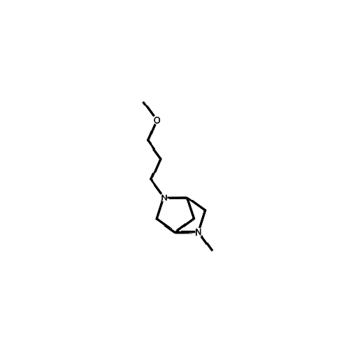 COCCCN1CC2CC1CN2C